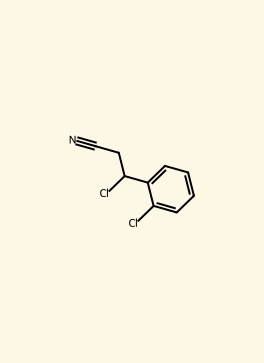 N#CCC(Cl)c1ccccc1Cl